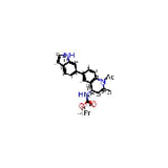 CC(=O)N1c2ccc(-c3ccc4cc[nH]c4c3)cc2[C@H](NC(=O)OC(C)C)C[C@@H]1C